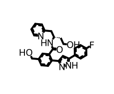 O=C(N[C@@H](CCO)Cc1ccccn1)c1cc(CO)ccc1-c1cc(-c2ccc(F)cc2)[nH]n1